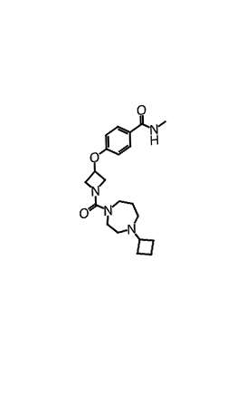 CNC(=O)c1ccc(OC2CN(C(=O)N3CCCN(C4CCC4)CC3)C2)cc1